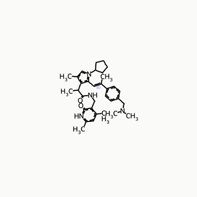 C/C(=C\c1c(C(C)C(=O)NCc2c(C)cc(C)[nH]c2=O)c(C)cn1C1CCCC1)c1ccc(CN(C)C)cc1